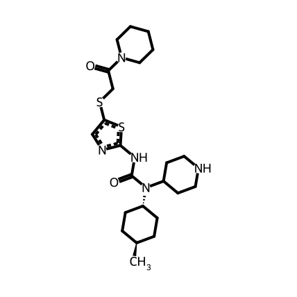 C[C@H]1CC[C@H](N(C(=O)Nc2ncc(SCC(=O)N3CCCCC3)s2)C2CCNCC2)CC1